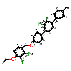 CCOc1ccc(COc2ccc(-c3ccc(-c4ccc(C)cc4)c(F)c3F)cc2)c(F)c1F